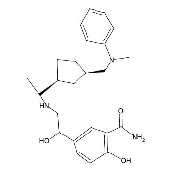 CC(NCC(O)c1ccc(O)c(C(N)=O)c1)[C@H]1CC[C@@H](CN(C)c2ccccc2)C1